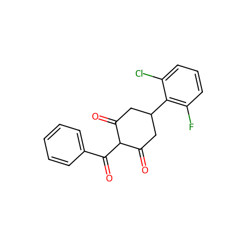 O=C1CC(c2c(F)cccc2Cl)CC(=O)C1C(=O)c1ccccc1